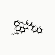 CC(C)NC(=O)c1ccc(CN(C(=O)OCc2ccccc2)N(C)C(=O)OCc2ccccc2)cc1